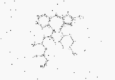 C=CC(=O)OC(C)OC(=O)N1C(N2CCN(C)CC2)=c2cc(C)sc2=Nc2ccccc21